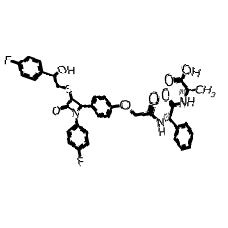 C[C@@H](NC(=O)[C@@H](NC(=O)COc1ccc(C2C(SCC(O)c3ccc(F)cc3)C(=O)N2c2ccc(F)cc2)cc1)c1ccccc1)C(=O)O